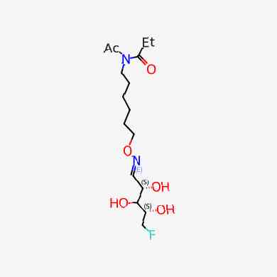 CCC(=O)N(CCCCCCO/N=C/[C@H](O)C(O)[C@H](O)CF)C(C)=O